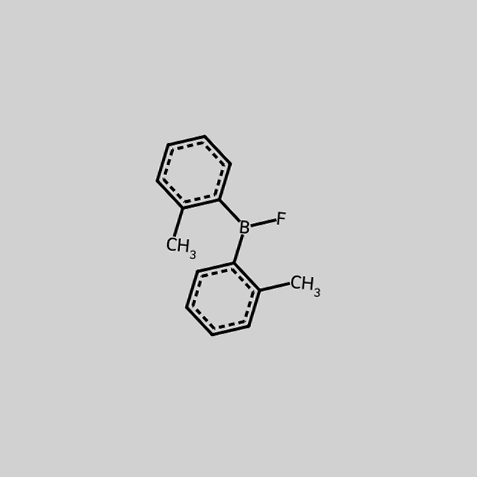 Cc1ccccc1B(F)c1ccccc1C